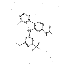 CCc1cc(Nc2cc(NC(C)=O)ncc2-c2ncnc(C)n2)nc(C(C)(F)F)n1